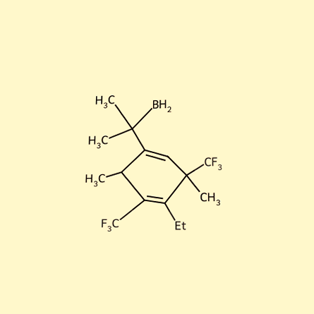 BC(C)(C)C1=CC(C)(C(F)(F)F)C(CC)=C(C(F)(F)F)C1C